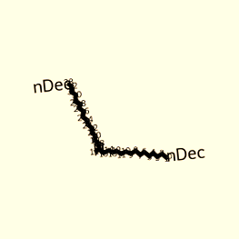 CCCCCCCCCCCCCCCCCCCCCCCCCN(C)CCCCCCCCCCCCCCCCCCCCCCCCC